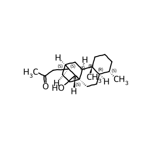 CC(=O)C[C@H]1[C@H]2CC[C@@]3(CC[C@@H]4[C@@H](C)CCC[C@@]4(C)[C@@H]3C2)[C@@H]1O